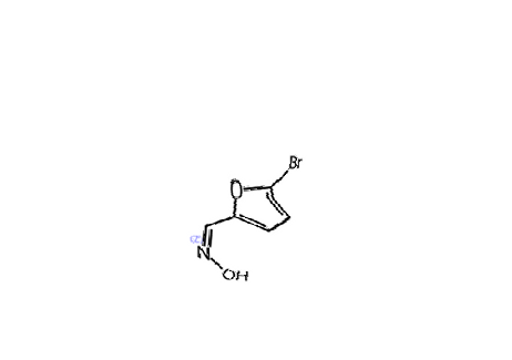 O/N=C\c1ccc(Br)o1